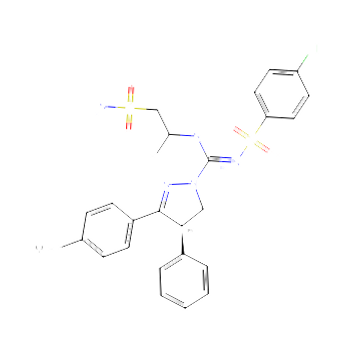 COc1ccc(C2=NN(/C(=N/S(=O)(=O)c3ccc(Cl)cc3)NC(CS(N)(=O)=O)C(C)C)C[C@H]2c2ccccc2)cc1